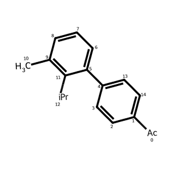 CC(=O)c1ccc(-c2cccc(C)c2C(C)C)cc1